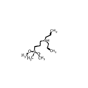 C=CC[SiH](CC=C)CCC[Si](C)(OC)OC